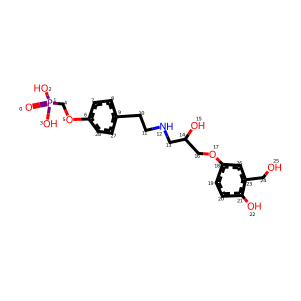 O=P(O)(O)COc1ccc(CCNCC(O)COc2ccc(O)c(CO)c2)cc1